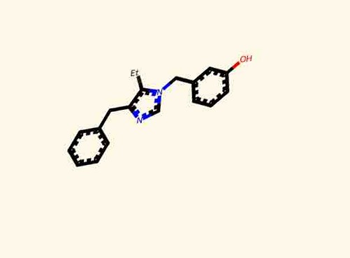 CCc1c(Cc2ccccc2)ncn1Cc1cccc(O)c1